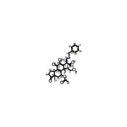 COCC(O)[C@@]1(C)C(/C(C=O)=C/SCc2ccccc2)=C(O)C(=O)C2=C1C(OC(C)=O)C[C@]1(C)C(=O)CCC21